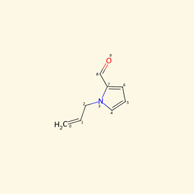 C=CCn1cccc1C=O